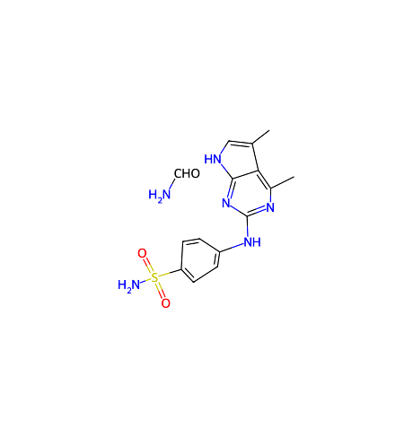 Cc1c[nH]c2nc(Nc3ccc(S(N)(=O)=O)cc3)nc(C)c12.NC=O